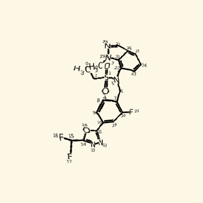 CCS(=O)(=O)N(Cc1ccc(-c2nnc(C(F)F)o2)cc1F)c1cccc2cnn(C)c12